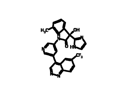 Cc1cccc([C@@](O)(C(=O)Nc2cncc(-c3cnnc4ccc(C(F)(F)F)cc34)c2)c2ncc[nH]2)c1